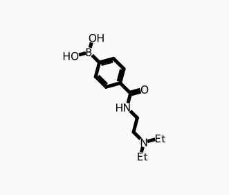 CCN(CC)CCNC(=O)c1ccc(B(O)O)cc1